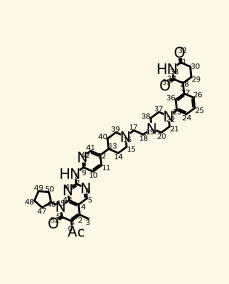 CC(=O)c1c(C)c2cnc(Nc3ccc(C4CCN(CCN5CCN(c6cccc(C7CCC(=O)NC7=O)c6)CC5)CC4)cn3)nc2n(C2CCCC2)c1=O